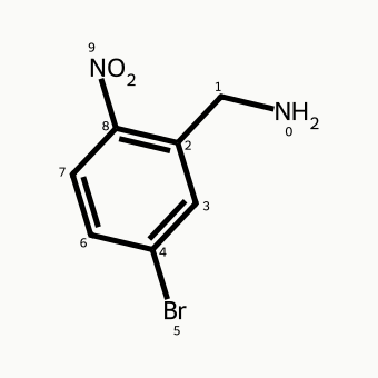 NCc1cc(Br)ccc1[N+](=O)[O-]